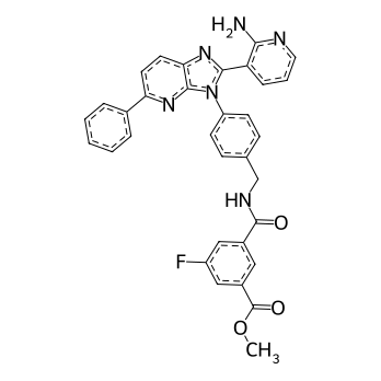 COC(=O)c1cc(F)cc(C(=O)NCc2ccc(-n3c(-c4cccnc4N)nc4ccc(-c5ccccc5)nc43)cc2)c1